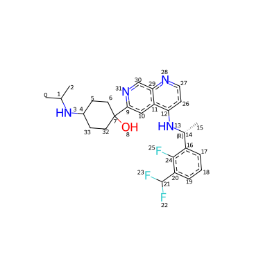 CC(C)NC1CCC(O)(c2cc3c(N[C@H](C)c4cccc(C(F)F)c4F)ccnc3cn2)CC1